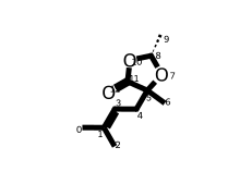 CC(C)=CCC1(C)O[C@@H](C)OC1=O